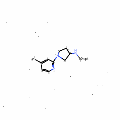 CCCCCCCNC1CCN(c2cc(C(C)C)ccn2)C1